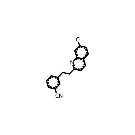 N#Cc1cccc(CCc2ccc3ccc(Cl)cc3n2)c1